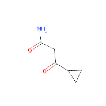 NC(=O)CC(=O)C1CC1